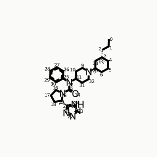 CCC[C@@H]1CCC[C@@H](N2CCC(N(C(=O)N3CCC[C@H]3c3nnn[nH]3)c3ccccc3)CC2)C1